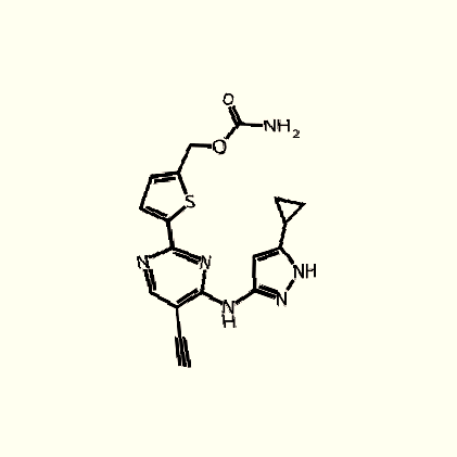 C#Cc1cnc(-c2ccc(COC(N)=O)s2)nc1Nc1cc(C2CC2)[nH]n1